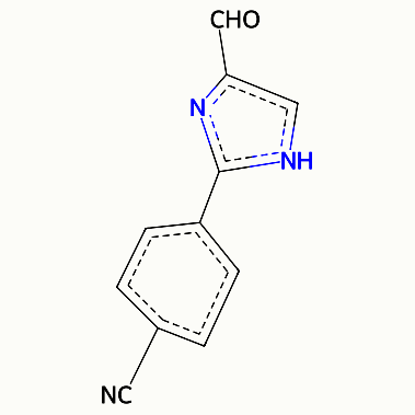 N#Cc1ccc(-c2nc(C=O)c[nH]2)cc1